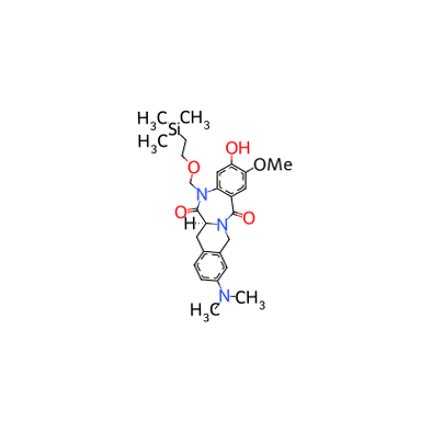 COc1cc2c(cc1O)N(COCC[Si](C)(C)C)C(=O)[C@@H]1Cc3ccc(N(C)C)cc3CN1C2=O